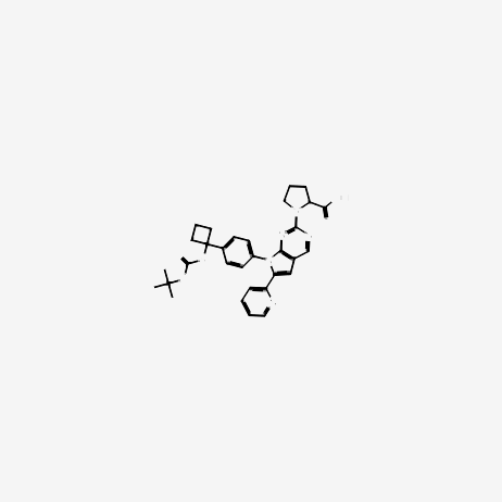 CC(C)(C)OC(=O)NC1(c2ccc(-n3c(-c4ccccn4)cc4cnc(N5CCCC5C(=O)O)nc43)cc2)CCC1